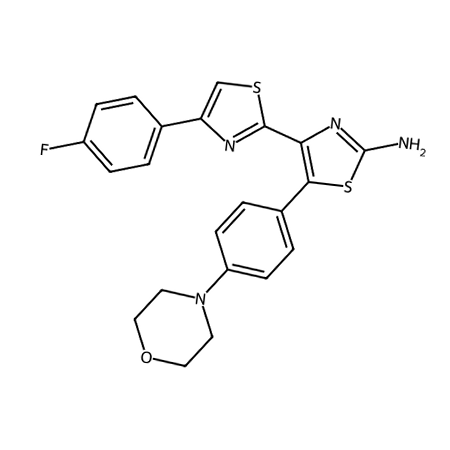 Nc1nc(-c2nc(-c3ccc(F)cc3)cs2)c(-c2ccc(N3CCOCC3)cc2)s1